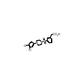 O=C(O)Cc1cccc(S(=O)(=O)N2CCN(c3ccc(Cl)c(Cl)c3)CC2)c1